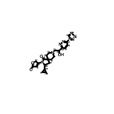 O=C1C=C(N2C(=O)C3(CCN(CC(O)c4ccc(-n5cnnn5)nn4)CC3)CC2C2CC2)CO1